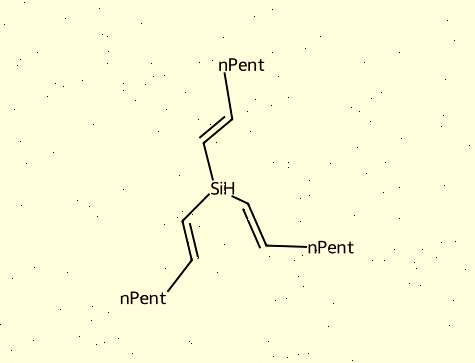 CCCCCC=C[SiH](C=CCCCCC)C=CCCCCC